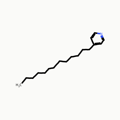 CCCCCCCCCCCCCc1ccncc1